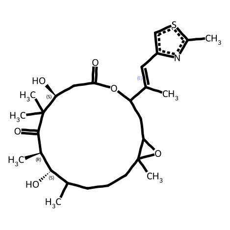 C/C(=C\c1csc(C)n1)C1CC2OC2(C)CCCC(C)[C@H](O)[C@@H](C)C(=O)C(C)(C)[C@@H](O)CC(=O)O1